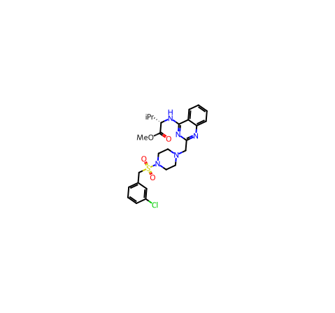 COC(=O)[C@@H](Nc1nc(CN2CCN(S(=O)(=O)Cc3cccc(Cl)c3)CC2)nc2ccccc12)C(C)C